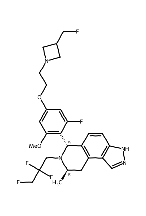 COc1cc(OCCN2CC(CF)C2)cc(F)c1[C@@H]1c2ccc3[nH]ncc3c2C[C@@H](C)N1CC(F)(F)CF